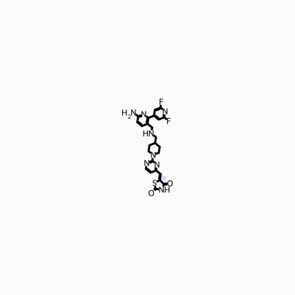 Nc1ccc(CNCC2CCN(c3nccc(/C=C4\SC(=O)NC4=O)n3)CC2)c(-c2cc(F)nc(F)c2)n1